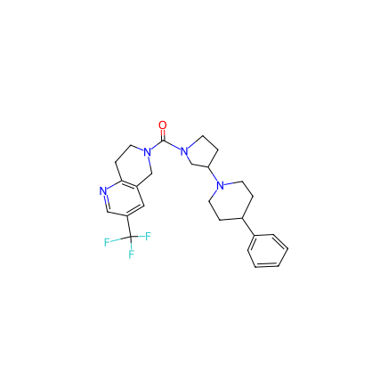 O=C(N1CCc2ncc(C(F)(F)F)cc2C1)N1CCC(N2CCC(c3ccccc3)CC2)C1